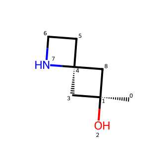 C[C@]1(O)C[C@]2(CCN2)C1